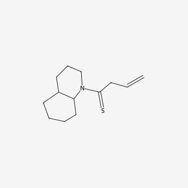 C=CCC(=S)N1CCCC2CCCCC21